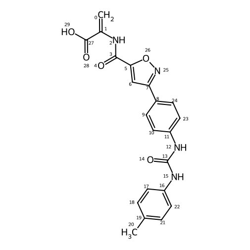 C=C(NC(=O)c1cc(-c2ccc(NC(=O)Nc3ccc(C)cc3)cc2)no1)C(=O)O